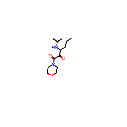 CCCC(NC(C)C)C(=O)C(=O)N1CCOCC1